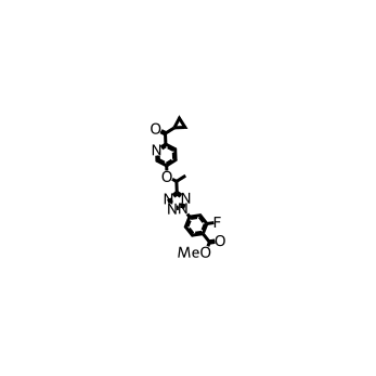 COC(=O)c1ccc(-n2nnc(C(C)Oc3ccc(C(=O)C4CC4)nc3)n2)cc1F